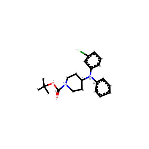 CC(C)(C)OC(=O)N1CCC(N(c2ccccc2)c2cccc(F)c2)CC1